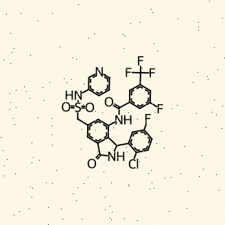 O=C(Nc1cc(CS(=O)(=O)Nc2cccnc2)cc2c1C(c1cc(F)ccc1Cl)NC2=O)c1cc(F)cc(C(F)(F)F)c1